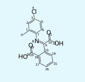 Cc1cc(Cl)ccc1N=C(C(=O)O)c1ccccc1C(=O)O